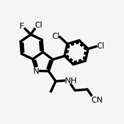 CC(NCCC#N)C1=C(c2ccc(Cl)cc2Cl)C2=CC(F)(Cl)C=CC2=N1